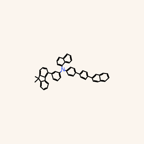 CC1(C)c2ccccc2-c2c(-c3cccc(N(c4ccc(-c5ccc(-c6ccc7ccccc7c6)cc5)cc4)c4cccc5ccccc45)c3)cccc21